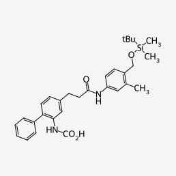 Cc1cc(NC(=O)CCc2ccc(-c3ccccc3)c(NC(=O)O)c2)ccc1CO[Si](C)(C)C(C)(C)C